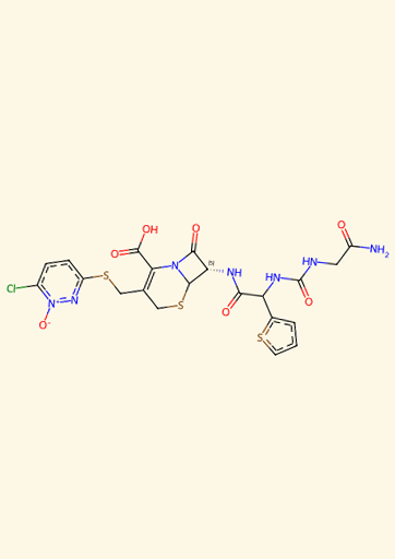 NC(=O)CNC(=O)NC(C(=O)N[C@H]1C(=O)N2C(C(=O)O)=C(CSc3ccc(Cl)[n+]([O-])n3)CSC12)c1cccs1